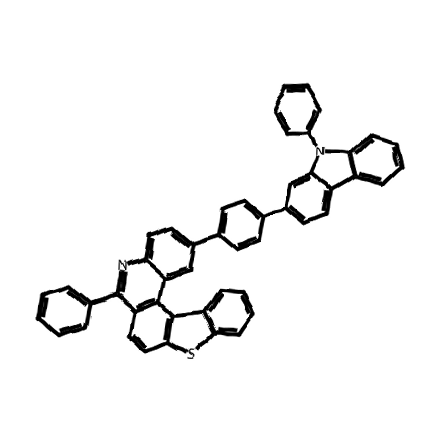 c1ccc(-c2nc3ccc(-c4ccc(-c5ccc6c7ccccc7n(-c7ccccc7)c6c5)cc4)cc3c3c2ccc2sc4ccccc4c23)cc1